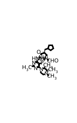 Cc1nc(NNC(=O)[C@@H](CC2CCCC2)CN(O)C=O)c(F)c(N2CCN(C)[C@@H](C)[C@@H]2C)n1